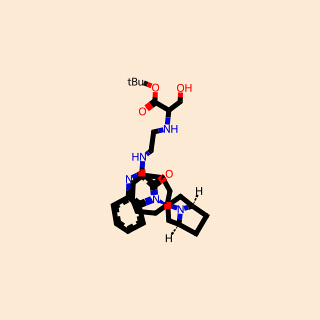 CC(C)(C)OC(=O)C(CO)NCCNc1nc2ccccc2n([C@H]2C[C@H]3CC[C@@H](C2)N3C2CCCCCCC2)c1=O